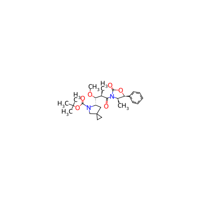 COC([C@@H](C)C(=O)N1C(=O)O[C@@H](c2ccccc2)[C@H]1C)[C@@H]1CC2(CC2)CN1C(=O)OC(C)(C)C